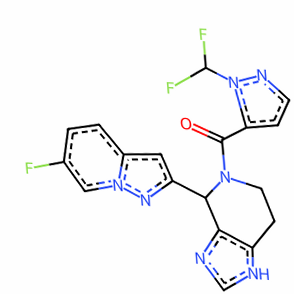 O=C(c1ccnn1C(F)F)N1CCc2[nH]cnc2C1c1cc2ccc(F)cn2n1